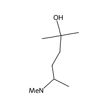 CNC(C)CCC(C)(C)O